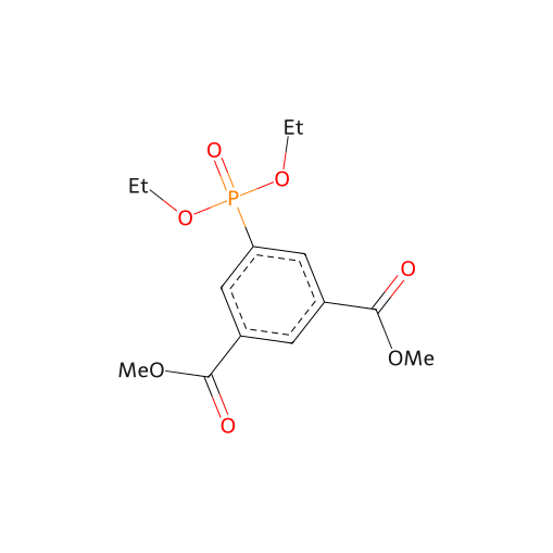 CCOP(=O)(OCC)c1cc(C(=O)OC)cc(C(=O)OC)c1